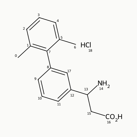 Cc1cccc(C)c1-c1cccc(C(N)CC(=O)O)c1.Cl